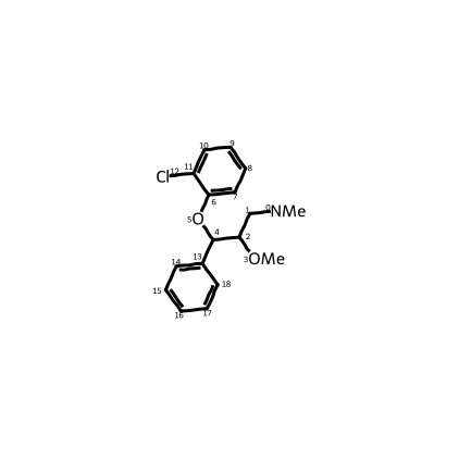 CNCC(OC)C(Oc1ccccc1Cl)c1ccccc1